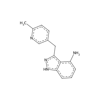 Cc1ccc(Cc2n[nH]c3cccc(N)c23)cn1